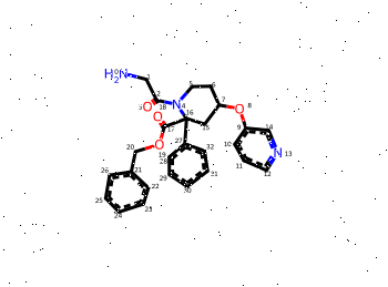 NCC(=O)N1CCC(Oc2cccnc2)CC1(C(=O)OCc1ccccc1)c1ccccc1